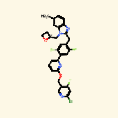 O=C(O)c1ccc2nc(Cc3cc(F)c(-c4cccc(OCc5cnc(Cl)cc5F)n4)cc3F)n(C[C@@H]3CCO3)c2c1